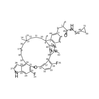 CC(Cc1cccc(C2(C)CCCC(C)(C)CSCCc3c(c(F)cc4[nH]ccc34)Oc3ccc(F)c(c3)-c3nc2nn3C)c1)C(=O)NSC1CC1